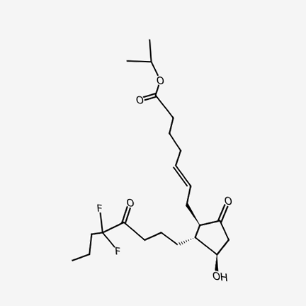 CCCC(F)(F)C(=O)CCC[C@H]1[C@H](O)CC(=O)[C@@H]1CC=CCCCC(=O)OC(C)C